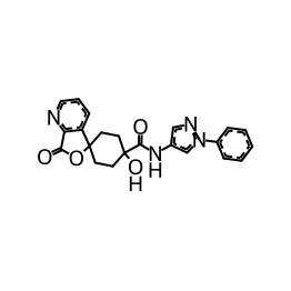 O=C1OC2(CCC(O)(C(=O)Nc3cnn(-c4ccccc4)c3)CC2)c2cccnc21